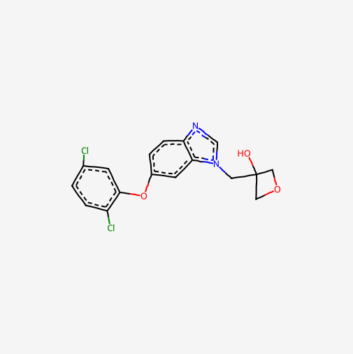 OC1(Cn2cnc3ccc(Oc4cc(Cl)ccc4Cl)cc32)COC1